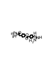 CCCN(C(=O)Cc1ccc(OC(=O)c2ccc(NC(=N)N)cc2)cc1)C(C)C